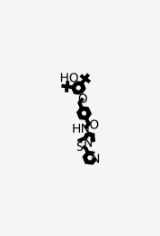 CC(C)(C)c1cc(OCc2ccc(C(=O)Nc3ccn4c3CSC4c3cccnc3)cc2)cc(C(C)(C)C)c1O